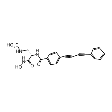 O=C(O)NC[C@H](NC(=O)c1ccc(C#CC#Cc2ccccc2)cc1)C(=O)NO